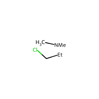 CCCCl.CNC